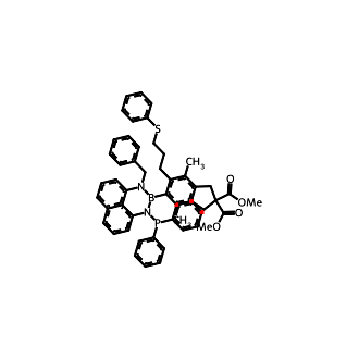 COC(=O)C1(C(=O)OC)Cc2c(C)c(CCCSc3ccccc3)c(B3N(Cc4ccccc4)c4cccc5cccc(c45)N3P(c3ccccc3)c3ccccc3)c(C)c2C1